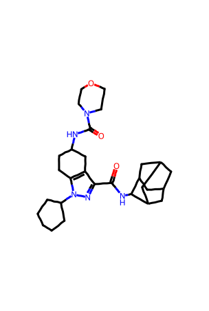 O=C(NC1C2CC3CC(C2)CC1C3)c1nn(C2CCCCC2)c2c1CC(NC(=O)N1CCOCC1)CC2